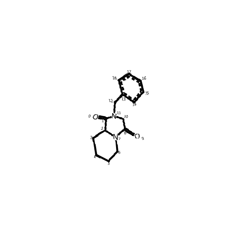 O=C1C2CCCCN2C(=O)CN1Cc1ccccc1